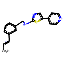 CCOC(=O)/C=C/c1cccc(CNc2ncc(-c3ccncc3)s2)c1